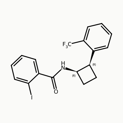 O=C(N[C@@H]1CC[C@@H]1c1ccccc1C(F)(F)F)c1ccccc1I